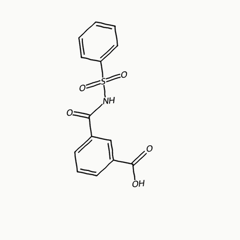 O=C(O)c1cccc(C(=O)NS(=O)(=O)c2ccccc2)c1